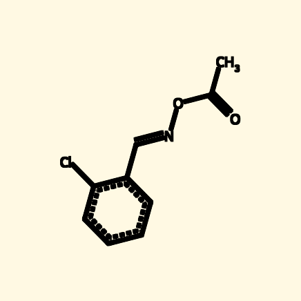 CC(=O)ON=Cc1ccccc1Cl